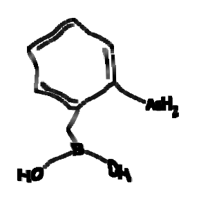 OB(O)c1ccccc1[AsH2]